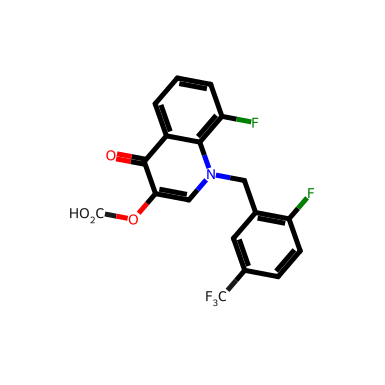 O=C(O)Oc1cn(Cc2cc(C(F)(F)F)ccc2F)c2c(F)cccc2c1=O